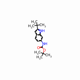 CC(C)(C)OC(=O)Nc1ccc2cc(C(C)(C)C)[nH]c2c1